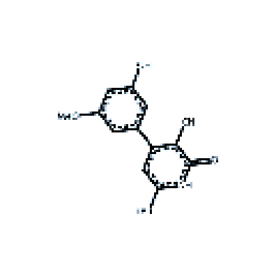 COc1cc(O)cc(-c2cc(C(C)(C)C)[nH]c(=O)c2C#N)c1